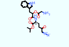 CC(C)OC(=O)[C@H](CCC(=O)C=[N+]=[N-])NC(=O)C(Cc1c[nH]c2ccccc12)OC(=O)CN